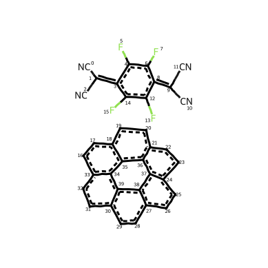 N#CC(C#N)=c1c(F)c(F)c(=C(C#N)C#N)c(F)c1F.c1cc2ccc3ccc4ccc5ccc6ccc1c1c2c3c4c5c61